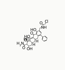 NC(=O)C1C(=O)[C@@]2(O)C(O)=C3C(=O)c4c(O)c(CNC(=O)CCl)cc(-c5ccccc5)c4C[C@H]3C[C@H]2CC1O